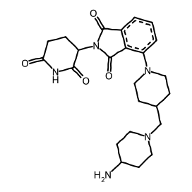 NC1CCN(CC2CCN(c3cccc4c3C(=O)N(C3CCC(=O)NC3=O)C4=O)CC2)CC1